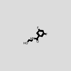 O=C(NCCO)c1cc(F)cc(F)c1